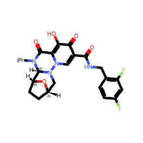 CC(C)N1C(=O)c2c(O)c(=O)c(C(=O)NCc3ccc(F)cc3F)cn2N2C[C@@H]3CC[C@@H](O3)[C@@H]12